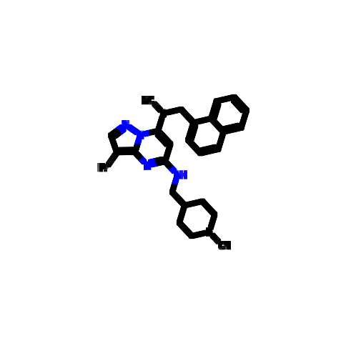 CC(C)c1cnn2c(B(C#N)Cc3cccc4ccccc34)cc(NCC3CCB(C#N)CC3)nc12